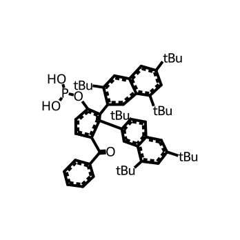 CC(C)(C)c1cc(C(C)(C)C)c2cc(-c3c(OP(O)O)ccc(C(=O)c4ccccc4)c3-c3cc4c(C(C)(C)C)cc(C(C)(C)C)cc4cc3C(C)(C)C)c(C(C)(C)C)cc2c1